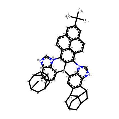 CC(C)(C)c1cc2ccc3c4c5c(c6ccc(c1)c2c36)-n1cnc2c3c(cc(c21)B5c1cc2c(c5ncn-4c15)C1CC4CC(CC2C4)C1)C1CC2CC(C1)CC3C2